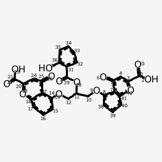 O=C(O)c1cc(=O)c2c(OCC(COc3cccc4oc(C(=O)O)cc(=O)c34)OC(=O)c3ccccc3O)cccc2o1